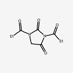 CCC(=O)N1CC(=O)N(C(=O)CC)C1=O